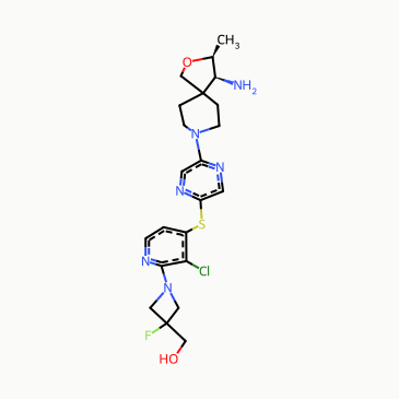 C[C@@H]1OCC2(CCN(c3cnc(Sc4ccnc(N5CC(F)(CO)C5)c4Cl)cn3)CC2)[C@@H]1N